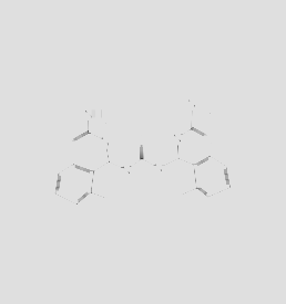 NC(=O)NC(NC(=O)NC(NC(N)=O)c1ccccc1O)c1ccccc1O